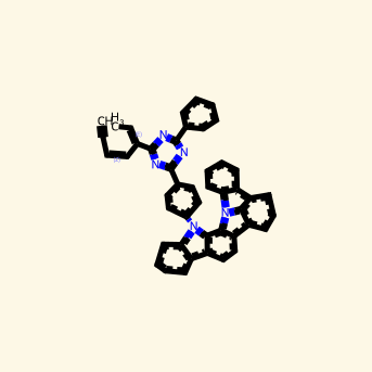 C#C/C=C\C(=C/C)c1nc(-c2ccccc2)nc(-c2ccc(-n3c4ccccc4c4ccc5c6cccc7c8ccccc8n(c76)c5c43)cc2)n1